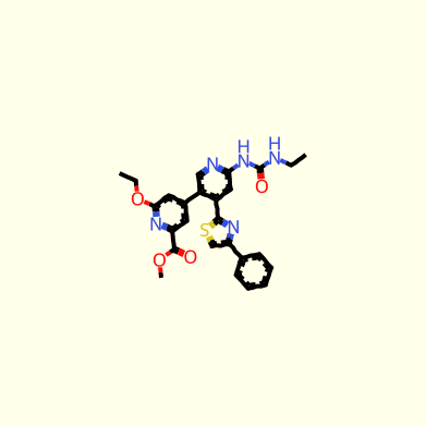 CCNC(=O)Nc1cc(-c2nc(-c3ccccc3)cs2)c(-c2cc(OCC)nc(C(=O)OC)c2)cn1